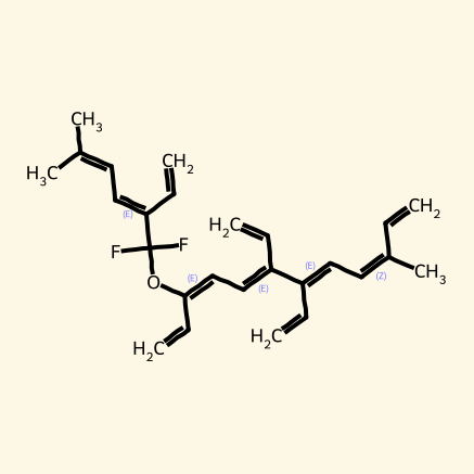 C=C\C(C)=C/C=C(C=C)/C(C=C)=C/C=C(\C=C)OC(F)(F)/C(C=C)=C/C=C(C)C